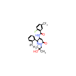 CC(C)c1ccccc1-c1nn(CC(C)(C)O)c(=O)cc1NC(=O)c1cc(C(F)(F)F)ccc1F